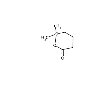 C[Si]1(C)CCCC(=O)O1